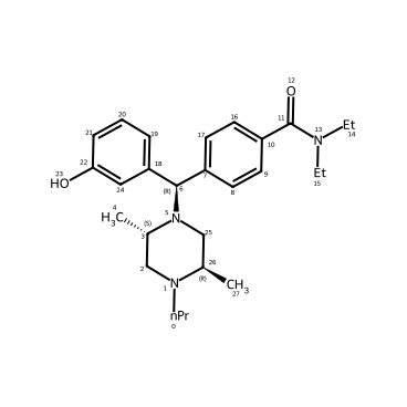 CCCN1C[C@H](C)N([C@H](c2ccc(C(=O)N(CC)CC)cc2)c2cccc(O)c2)C[C@H]1C